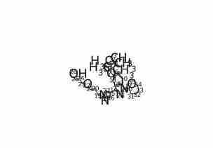 CC(C)(C)[Si](C)(C)Oc1ccc2c(c1)c(-c1cnn(CCCOCCCO)c1)nn2C1CCCCO1